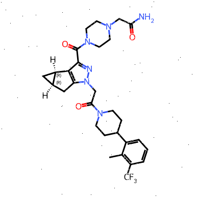 Cc1c(C2CCN(C(=O)Cn3nc(C(=O)N4CCN(CC(N)=O)CC4)c4c3C[C@H]3C[C@@H]43)CC2)cccc1C(F)(F)F